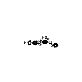 O=C(NS(=O)(=O)c1ccc(NCCSc2ccccc2)c(NO)c1)c1ccc(N2CCNCC2)cc1